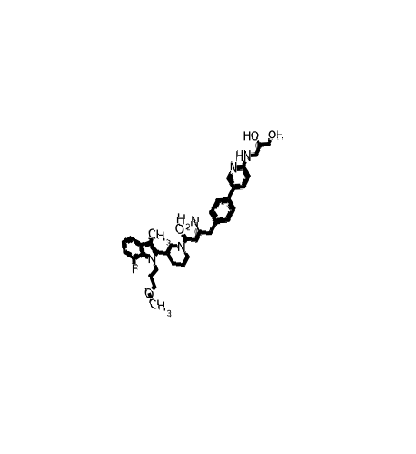 COCCCn1c(C2CCCN(C(=O)C[C@H](N)Cc3ccc(-c4ccc(NC[C@@H](O)CO)nc4)cc3)C2)c(C)c2cccc(F)c21